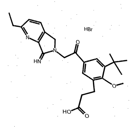 Br.CCc1ccc2c(n1)C(=N)N(CC(=O)c1cc(CCC(=O)O)c(OC)c(C(C)(C)C)c1)C2